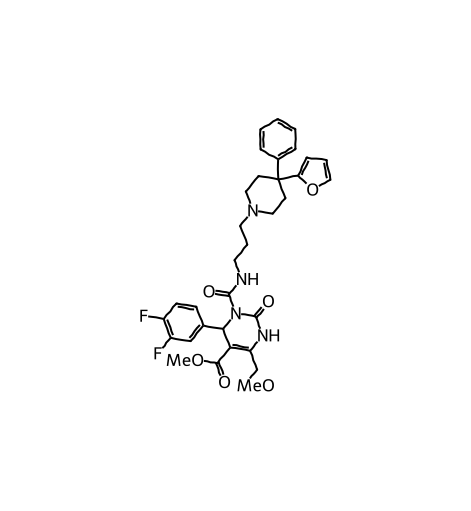 COCC1=C(C(=O)OC)C(c2ccc(F)c(F)c2)N(C(=O)NCCCN2CCC(c3ccccc3)(c3ccco3)CC2)C(=O)N1